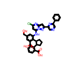 O=C(O)c1ccccc1C1CCCC1c1c(Nc2cc(Cl)nc3cc(-c4cncc(-c5ccccc5)n4)nn23)cc(CO)cc1C(=O)O